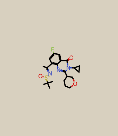 CC(=N[S@+]([O-])C(C)(C)C)c1cc(F)cc2c(=O)n(C3CC3)c(C3CCCOC3)nc12